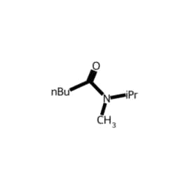 [CH2]CCCC(=O)N(C)C(C)C